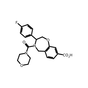 O=C(O)c1ccc2c(c1)OCC(c1ccc(F)cc1)N(C(=O)N1CCOCC1)C2